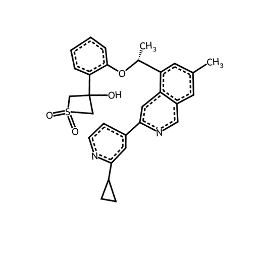 Cc1cc([C@@H](C)Oc2ccccc2C2(O)CS(=O)(=O)C2)c2cc(-c3ccnc(C4CC4)c3)ncc2c1